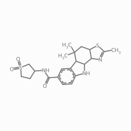 CC1=NC2C(CC(C)(C)C3c4cc(C(=O)NC5CCS(=O)(=O)C5)ccc4NC23)S1